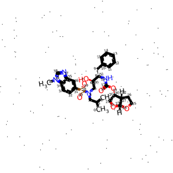 CC(C)CN(C[C@@H](O)[C@H](Cc1ccccc1)NC(=O)O[C@H]1CO[C@H]2OCC[C@H]21)S(=O)(=O)c1ccc2c(c1)ncn2C